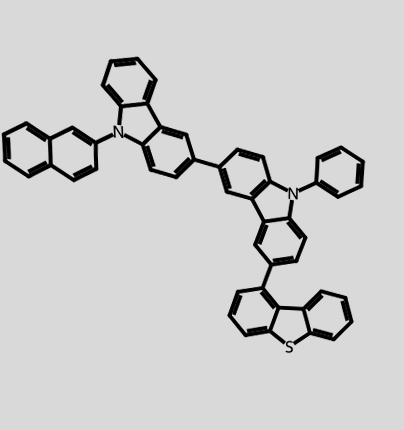 c1ccc(-n2c3ccc(-c4ccc5c(c4)c4ccccc4n5-c4ccc5ccccc5c4)cc3c3cc(-c4cccc5sc6ccccc6c45)ccc32)cc1